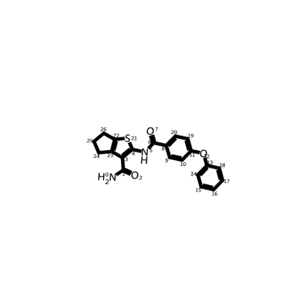 NC(=O)c1c(NC(=O)c2ccc(Oc3ccccc3)cc2)sc2c1CCC2